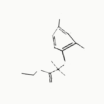 CCOC(=O)C(C)(C)Oc1ccc(F)cc1C